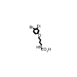 CCc1cc(OCCCCNC(=O)O)ccc1Br